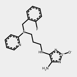 Nc1n[s+]([O-])nc1NCCCN(Cc1ccccc1F)c1ccccn1